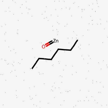 [CH2]CCCCC.[O]=[Zn]